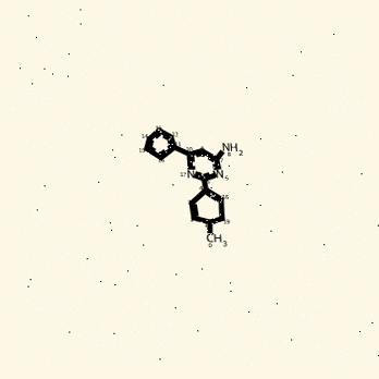 CC1C=CC(c2nc(N)cc(-c3ccccc3)n2)=CC1